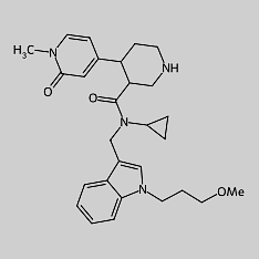 COCCCn1cc(CN(C(=O)C2CNCCC2c2ccn(C)c(=O)c2)C2CC2)c2ccccc21